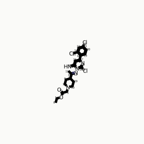 CCOC(=O)CN1CCC(/C(C)=N/n2c(Cl)nc(-c3ccc(Cl)cc3Cl)cc2=N)CC1